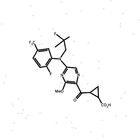 COc1nc(N(CC(C)(C)F)c2cc(C(F)(F)F)ccc2F)cnc1C(=O)C1CC1C(=O)O